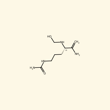 C=C(N)[C@H](CCCNC(N)=O)NCO